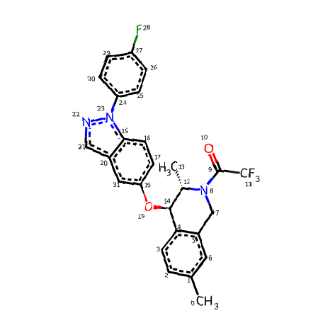 Cc1ccc2c(c1)CN(C(=O)C(F)(F)F)[C@@H](C)[C@@H]2Oc1ccc2c(cnn2-c2ccc(F)cc2)c1